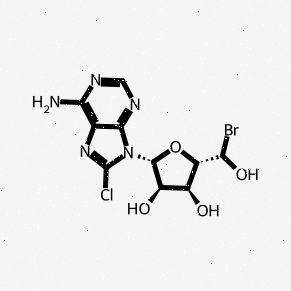 Nc1ncnc2c1nc(Cl)n2[C@@H]1O[C@H](C(O)Br)[C@@H](O)[C@H]1O